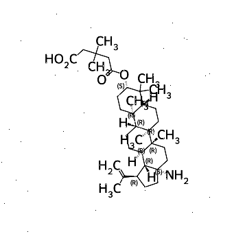 C=C(C)[C@@H]1CC[C@]2(N)CC[C@]3(C)[C@H](CC[C@@H]4[C@@]5(C)CC[C@H](OC(=O)CC(C)(C)CC(=O)O)C(C)(C)[C@@H]5CC[C@]43C)[C@@H]12